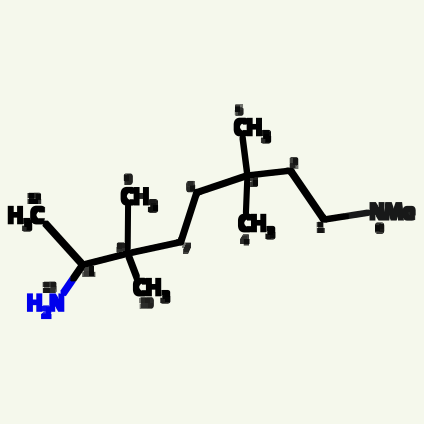 CNCCC(C)(C)CCC(C)(C)C(C)N